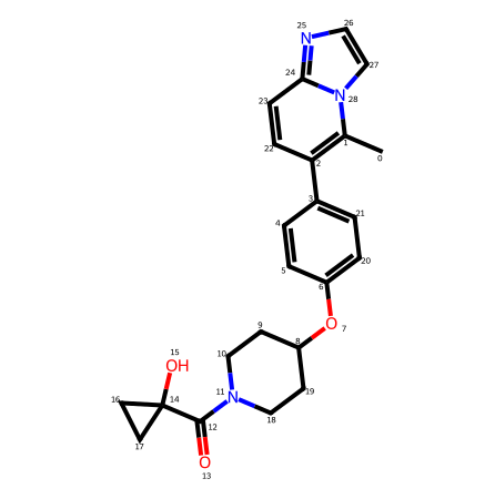 Cc1c(-c2ccc(OC3CCN(C(=O)C4(O)CC4)CC3)cc2)ccc2nccn12